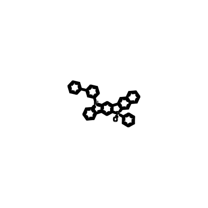 O=P1(c2ccccc2)c2cc3ccccc3cc2-c2cc3c(cc21)c1ccccc1n3-c1cccc(-c2ccccc2)c1